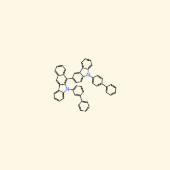 c1ccc(-c2ccc(-n3c4ccccc4c4cc(-c5c6ccccc6cc6c7ccccc7n(-c7cccc(-c8ccccc8)c7)c56)ccc43)cc2)cc1